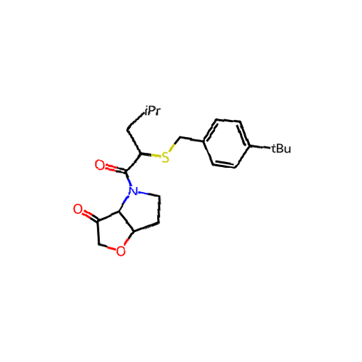 CC(C)CC(SCc1ccc(C(C)(C)C)cc1)C(=O)N1CCC2OCC(=O)C21